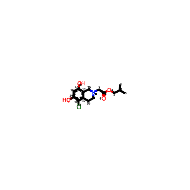 CC(C)COC(=O)CN1CCc2c(Cl)c(O)cc(O)c2C1